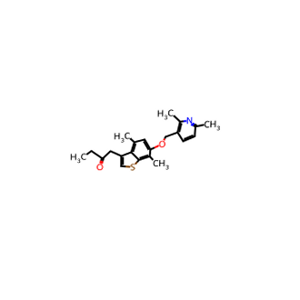 CCC(=O)Cc1csc2c(C)c(OCc3ccc(C)nc3C)cc(C)c12